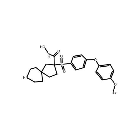 CC(C)Oc1ccc(Oc2ccc(S(=O)(=O)C3(C(=O)NO)CCC4(CCNCC4)C3)cc2)cc1